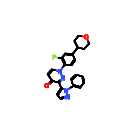 O=c1ccn(-c2ccc(C3CCOCC3)cc2F)nc1-c1ccnn1-c1ccccc1